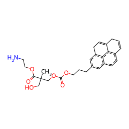 CC(CO)(COC(=O)OCCCc1cc2c3c4c(ccc3c1)C=CCC4=CC2)C(=O)OCCN